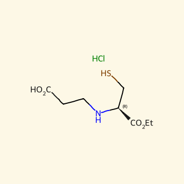 CCOC(=O)[C@H](CS)NCCC(=O)O.Cl